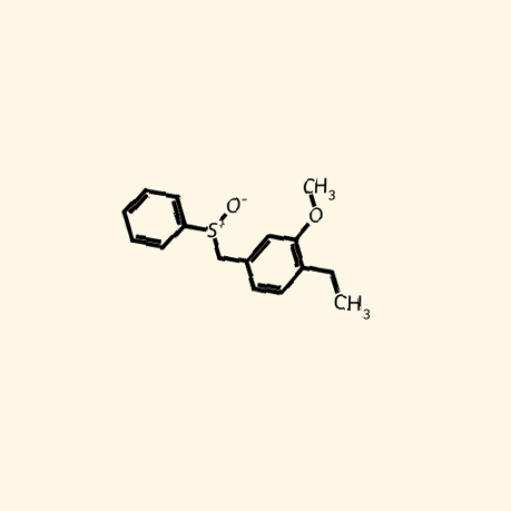 CCc1ccc(C[S+]([O-])c2ccccc2)cc1OC